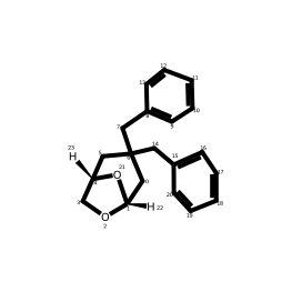 [CH]1[C@@H]2OC[C@H](CC1(Cc1ccccc1)Cc1ccccc1)O2